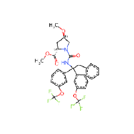 COC(=O)[C@@H]1C[C@@H](OC)CN1C(=O)NC(Cc1ccccc1)(c1cccc(OC(F)(F)F)c1)c1cccc(OC(F)(F)F)c1